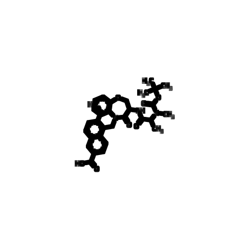 COc1ccc2cc(C(=O)O)ccc2c1CN1C(=O)C(NC(=O)C(C)N(C)C(=O)OC(C)(C)C)COc2ccccc21